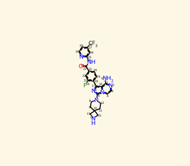 Nc1nccn2c(N3CCC4(CC3)CNC4)nc(-c3ccc(C(=O)Nc4cc(C(F)(F)F)ccn4)cc3F)c12